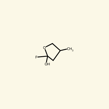 CC1COC(O)(F)C1